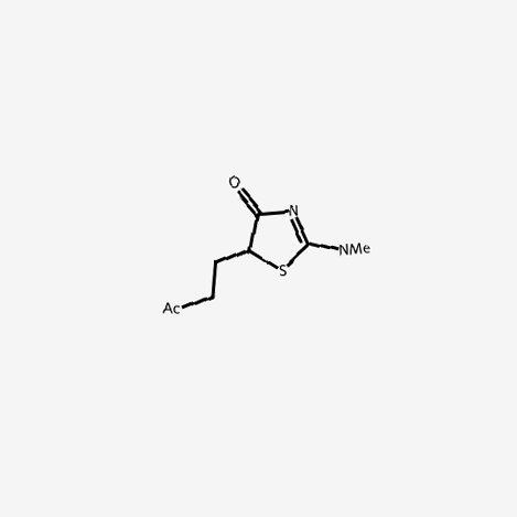 CNC1=NC(=O)C(CCC(C)=O)S1